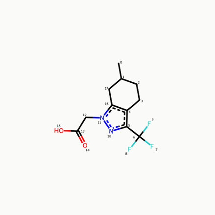 CC1CCc2c(C(F)(F)F)nn(CC(=O)O)c2C1